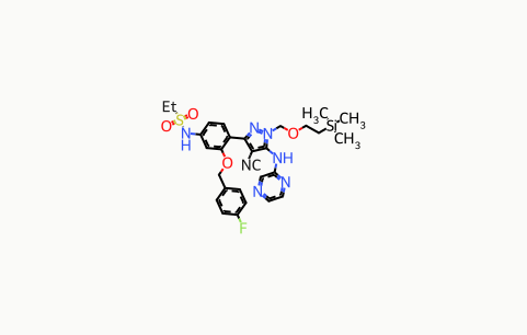 CCS(=O)(=O)Nc1ccc(-c2nn(COCC[Si](C)(C)C)c(Nc3cnccn3)c2C#N)c(OCc2ccc(F)cc2)c1